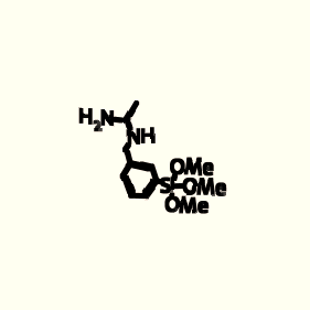 CO[Si](OC)(OC)c1cccc(CNC(C)N)c1